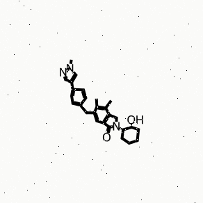 Cc1c(Cc2ccc(-c3cnn(C)c3)cc2)cc2c(c1C)CN([C@@H]1CCCC[C@H]1O)C2=O